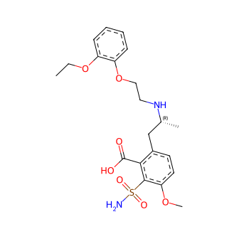 CCOc1ccccc1OCCN[C@H](C)Cc1ccc(OC)c(S(N)(=O)=O)c1C(=O)O